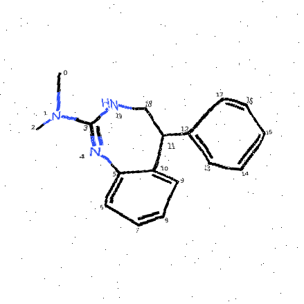 CN(C)C1=Nc2ccccc2C(c2ccccc2)CN1